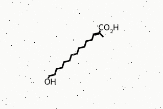 C/C(=C\CCCCCCCCCCCCO)C(=O)O